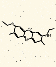 CC/N=C1/C=c2[o+]c3c(nc2C=C1C)=CC(C)C(NCC)=C3